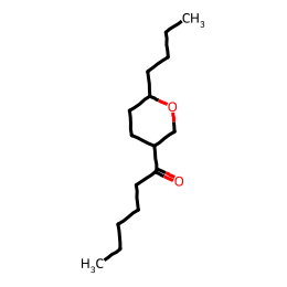 CCCCCC(=O)C1CCC(CCCC)OC1